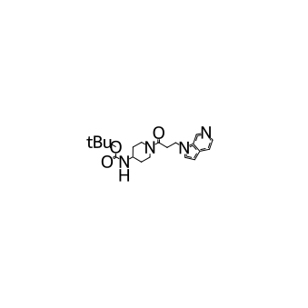 CC(C)(C)OC(=O)NC1CCN(C(=O)CCn2ccc3ccncc32)CC1